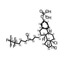 C[C@]12CC[C@@H]3c4ccc(OP(=O)(O)O)cc4C[C@@H](CCC[S+]([O-])CCCC(F)(F)C(F)(F)F)[C@H]3[C@@H]1CC[C@@H]2O